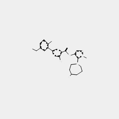 CCc1ccc(F)c(-c2nc(C(=O)Nc3cnn(C)c3N3CCCC(N)CC3)c(N)s2)c1